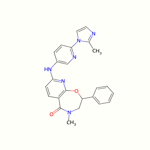 Cc1nccn1-c1ccc(Nc2ccc3c(n2)OC(c2ccccc2)CN(C)C3=O)cn1